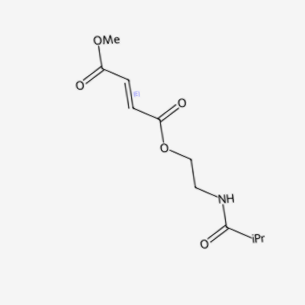 COC(=O)/C=C/C(=O)OCCNC(=O)C(C)C